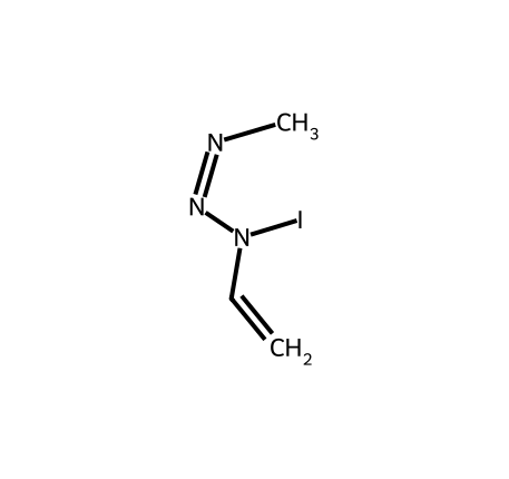 C=CN(I)/N=N\C